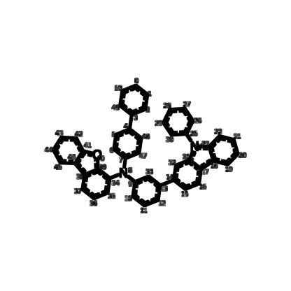 c1ccc(-c2ccc(N(c3cccc(-c4ccc5c6ccccc6n(-c6ccccc6)c5c4)c3)c3cccc4c3oc3ccccc34)cc2)cc1